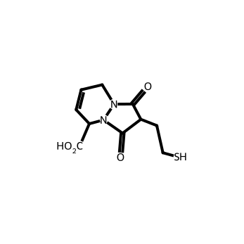 O=C(O)C1C=CCN2C(=O)C(CCS)C(=O)N12